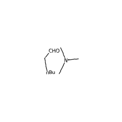 CCCCCC=O.CN(C)C